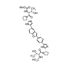 COC(=O)NC(C(=O)N1CCC[C@H]1c1ncc(-c2ccc3oc(-c4ccc(-c5cnc([C@@H]6CCCN6C(=O)C(NC(=O)O)C(C)O)[nH]5)cc4)cc3c2)[nH]1)C(C)O